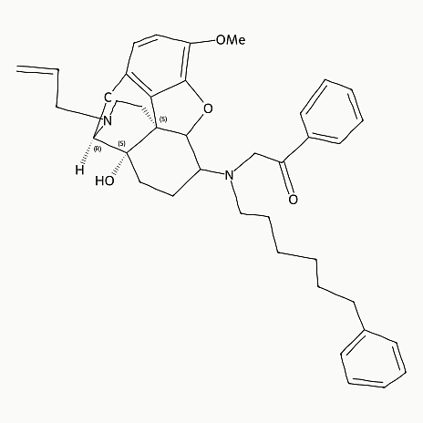 C=CCN1CC[C@]23c4c5ccc(OC)c4OC2C(N(CCCCCCc2ccccc2)CC(=O)c2ccccc2)CC[C@@]3(O)[C@H]1C5